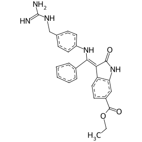 CCOC(=O)c1ccc2c(c1)NC(=O)/C2=C(\Nc1ccc(CNC(=N)N)cc1)c1ccccc1